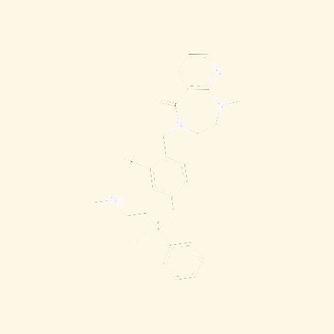 CNCC[C@@](O)(Oc1ccc(CN2CCN(C)c3ncccc3C2=O)c(C(F)(F)F)c1)c1ccccc1